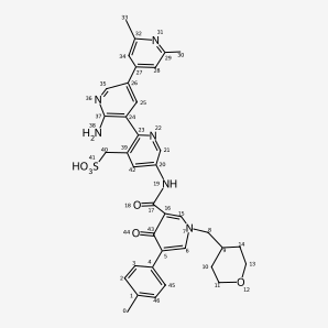 Cc1ccc(-c2cn(CC3CCOCC3)cc(C(=O)Nc3cnc(-c4cc(-c5cc(C)nc(C)c5)cnc4N)c(CS(=O)(=O)O)c3)c2=O)cc1